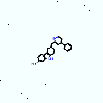 Cc1ccc2c3c([nH]c2c1)CCC(CC1CC(c2ccccc2)=CCN1)C3